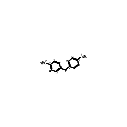 CCCCc1ccc([C]c2ccc(CCCC)cc2)cc1